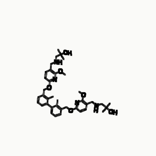 COc1nc(OCc2cccc(-c3cccc(COc4ccc(CNCC(C)(C)O)c(OC)n4)c3C)c2C)ccc1CNCC(C)(C)O